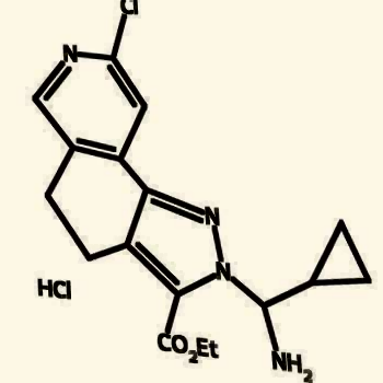 CCOC(=O)c1c2c(nn1C(N)C1CC1)-c1cc(Cl)ncc1CC2.Cl